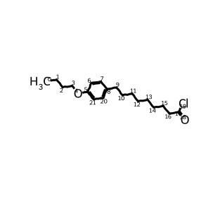 CCCCOc1ccc(CCCCCCCCC(=O)Cl)cc1